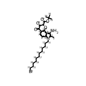 Cc1c(N)c2c3c(ccc2n1CCCCCCCCCCCCBr)C(=O)C(=O)C(C(=O)OC(C)(C)C)O3